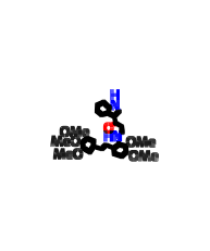 COc1cc(C=Cc2ccc(OC)c(OC)c2N/C=C\C(=O)c2c[nH]c3ccccc23)cc(OC)c1OC